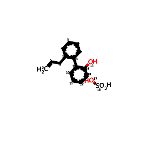 C=CCc1ccccc1-c1ccccc1O.O=S(=O)(O)O